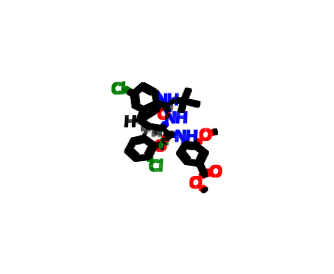 COC(=O)c1ccc(NC(=O)[C@@H]2N[C@H](CC(C)(C)C)C3C4=CC(Cl)=CC3[C@@H](C(=O)N4)[C@H]2c2cccc(Cl)c2F)c(OC)c1